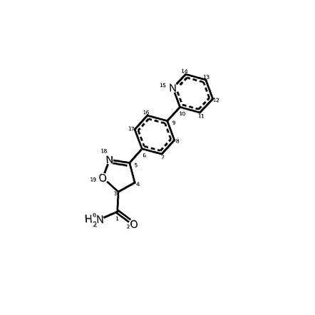 NC(=O)C1CC(c2ccc(-c3ccccn3)cc2)=NO1